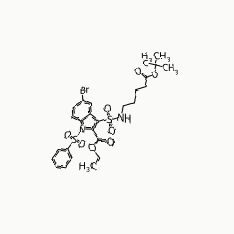 CCOC(=O)c1c(S(=O)(=O)NCCCCC(=O)OC(C)(C)C)c2cc(Br)ccc2n1S(=O)(=O)c1ccccc1